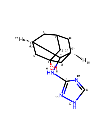 OC12CC3C[C@H](C1)C(Nc1nc[nH]n1)[C@@H](C3)C2